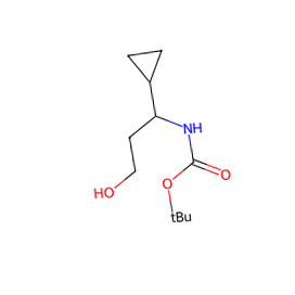 CC(C)(C)OC(=O)NC(CCO)C1CC1